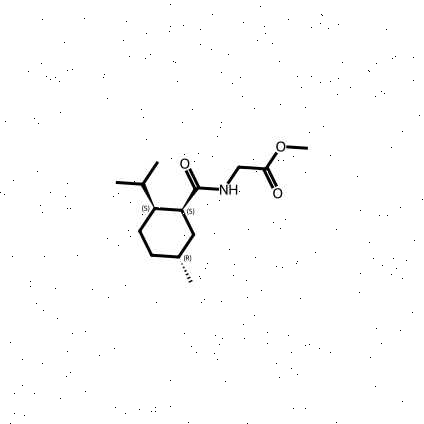 COC(=O)CNC(=O)[C@H]1C[C@H](C)CC[C@H]1C(C)C